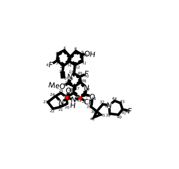 C#Cc1c(F)ccc2cc(O)cc(-c3nc(OC)c4c(N5CC6CCC(C5)N6C(=O)NCC#N)nc(OCC5(CN6CCC(F)CC6)CC5)nc4c3F)c12